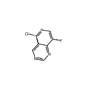 Fc1cnc(Cl)c2cncnc12